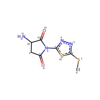 CCSc1nnc(N2C(=O)CC(N)C2=O)s1